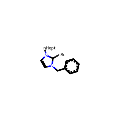 CCCCCCCN1C=CN(Cc2ccccc2)C1CCCC